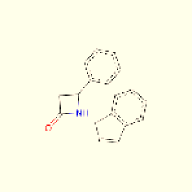 C1=Cc2ccccc2C1.O=C1CC(c2ccccc2)N1